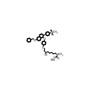 CCN(CCCCCN(C)C(=O)OC(C)(C)C)CCOc1ccc(Oc2c(-c3ccc(S(C)(=O)=O)cc3)ccc3cc(OCc4ccccc4)ccc23)cc1